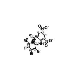 O=[N+]([O-])c1cc([N+](=O)[O-])c(Nc2c(Br)c(Br)c(F)c(Br)c2Br)c([N+](=O)[O-])c1